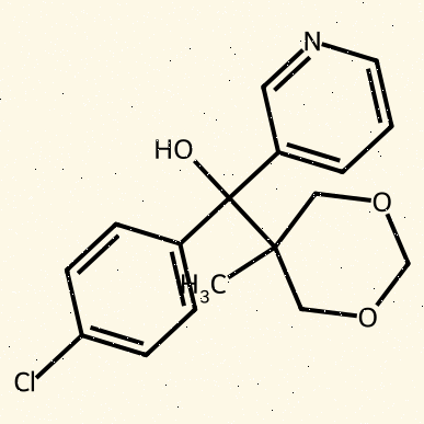 CC1(C(O)(c2ccc(Cl)cc2)c2cccnc2)COCOC1